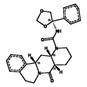 O=C1[C@H]2CCCN(C(=O)N[C@@]3(c4ccccc4)COCO3)[C@H]2C[C@H]2c3ccccc3CCN12